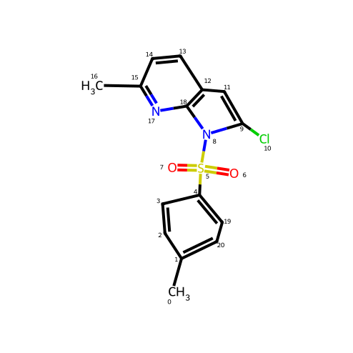 Cc1ccc(S(=O)(=O)n2c(Cl)cc3ccc(C)nc32)cc1